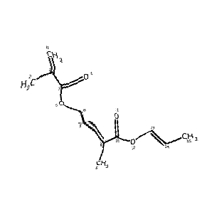 C=C(C)C(=O)OCC=C(C)C(=O)OC=CC